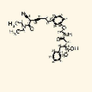 CCN(CC)C(=O)C(C#N)C#CCCc1cccc(OCNC(=O)C[C@@H](Cc2ccccc2)B(O)O)c1